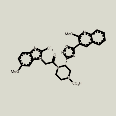 COc1ccc2nc(C(F)(F)F)n(CC(=O)N3CCN(C(=O)O)C[C@H]3c3noc(-c4cc5ccccc5nc4OC)n3)c2c1